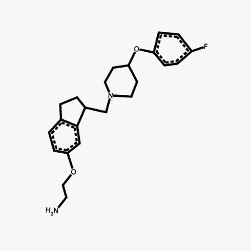 NCCOc1ccc2c(c1)C(CN1CCC(Oc3ccc(F)cc3)CC1)CC2